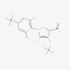 NC(=S)c1nn(-c2c(Cl)cc(C(F)(F)F)cc2Cl)c(N)c1SC(F)(F)F